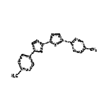 Cc1ccc(-c2ccc(-c3ccc(-c4ccc(C)cc4)s3)s2)cc1